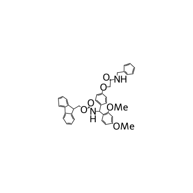 COc1ccc(C(NC(=O)OCC2c3ccccc3-c3ccccc32)c2ccc(OCC(=O)NCc3ccccc3)cc2)c(OC)c1